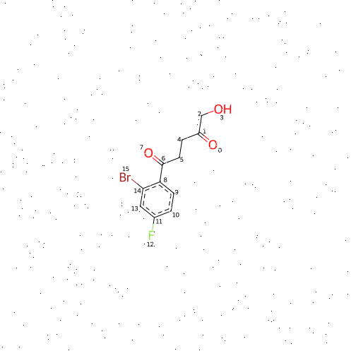 O=C(CO)CCC(=O)c1ccc(F)cc1Br